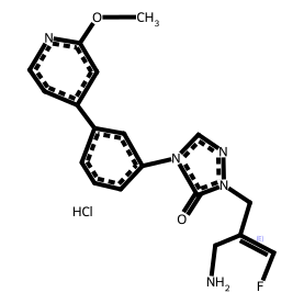 COc1cc(-c2cccc(-n3cnn(C/C(=C/F)CN)c3=O)c2)ccn1.Cl